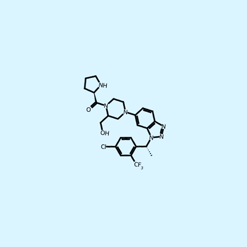 C[C@H](c1ccc(Cl)cc1C(F)(F)F)n1nnc2ccc(N3CCN(C(=O)[C@H]4CCCN4)C(CO)C3)cc21